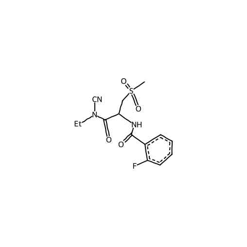 CCN(C#N)C(=O)C(CS(C)(=O)=O)NC(=O)c1ccccc1F